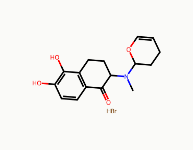 Br.CN(C1CCC=CO1)C1CCc2c(ccc(O)c2O)C1=O